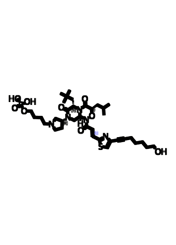 CC(C)C[C@H]1ON(C(=O)/C=C/c2nc(C#CCCCCCO)cs2)[C@H]2CN([C@@H]3CCN(CCCCOP(=O)(O)O)C3)C(=O)[C@H](CC(C)(C)C)N2C1=O